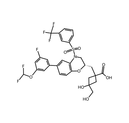 O=C(O)C1(C[C@H]2CN(S(=O)(=O)c3cccc(C(F)(F)F)c3)c3cc(-c4cc(F)cc(OC(F)F)c4)ccc3O2)CC(O)(CO)C1